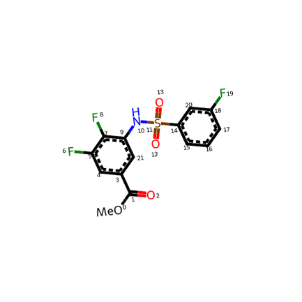 COC(=O)c1cc(F)c(F)c(NS(=O)(=O)c2cccc(F)c2)c1